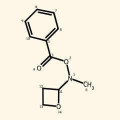 CN(OC(=O)c1ccccc1)C1CCO1